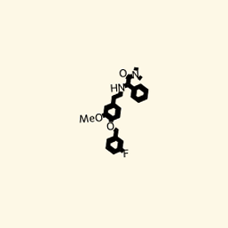 COc1cc(CCNC(C(=O)N(C)C)c2ccccc2)ccc1OCc1cccc(F)c1